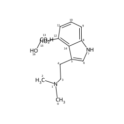 CN(C)CCc1c[nH]c2cccc(O)c12.O=C(O)O